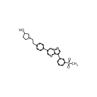 CS(=O)(=O)c1cccc(-c2cnn3cc(-c4ccc(CCN5CCC(O)C5)cc4)cnc23)c1